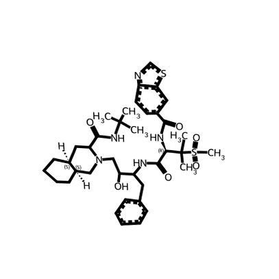 CC(C)(C)NC(=O)C1C[C@@H]2CCCC[C@@H]2CN1CC(O)C(Cc1ccccc1)NC(=O)[C@@H](NC(=O)c1ccc2ncsc2c1)C(C)(C)S(C)(=O)=O